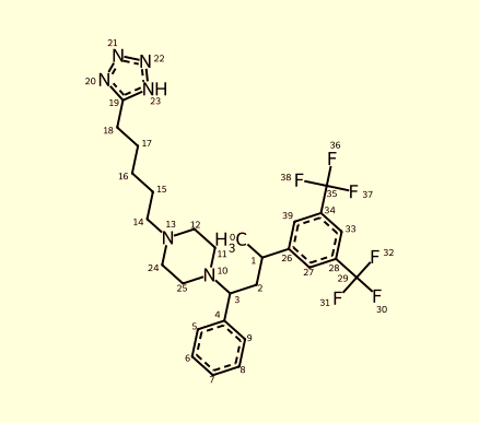 CC(CC(c1ccccc1)N1CCN(CCCCCc2nnn[nH]2)CC1)c1cc(C(F)(F)F)cc(C(F)(F)F)c1